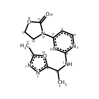 Cc1nnc(C(C)Nc2nccc(N3CCOC3=O)n2)o1